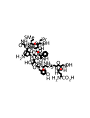 C=C(N[C@@H](CC(N)=O)C(=O)C(=O)[C@H](CC(C)C)NO)[C@H](CCSC)NN[C@@H](CCC(N)=O)C(=O)C(=O)[C@H](CC(N)=O)NC(=O)[C@H](Cc1c[nH]c2ccccc12)NC(=O)[C@@H](NC(=O)[C@H](Cc1ccc(O)cc1)NC(=O)C(N)CSSCC(NC(=O)CCC(N)C(=O)O)C(=O)C(=O)CNO)[C@@H](C)O